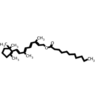 CCCCCCCCCCC(=O)OCC=C(C)C=CC=C(C)C=CC1=C(C)CCCC1(C)C